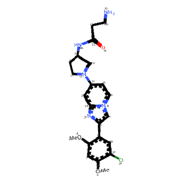 COc1cc(OC)c(-c2cn3ccc(N4CCC(NC(=O)CCN)C4)cc3n2)cc1Cl